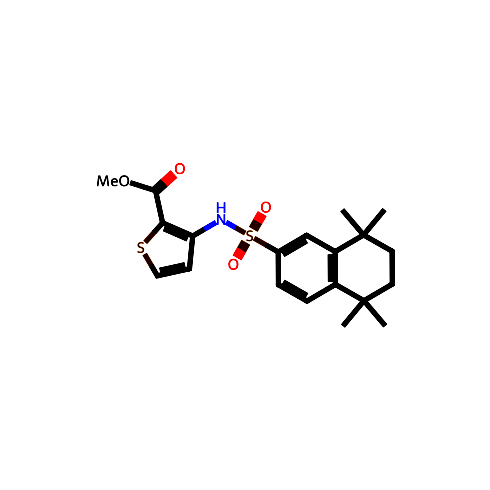 COC(=O)c1sccc1NS(=O)(=O)c1ccc2c(c1)C(C)(C)CCC2(C)C